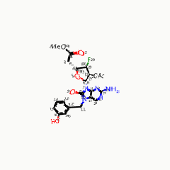 COC(=O)C[C@H]1O[C@@H](n2c(=O)n(Cc3cccc(O)c3)c3cnc(N)nc32)[C@H](OC(C)=O)[C@@H]1F